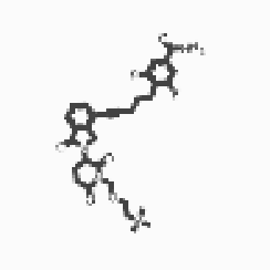 C[Si](C)(C)CCOCN1C(=O)CCC(N2Cc3c(C#CCCCc4c(F)cc(C(N)=O)cc4F)cccc3C2=O)C1=O